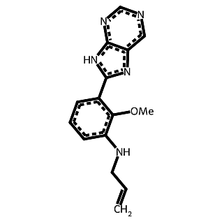 C=CCNc1cccc(-c2nc3cncnc3[nH]2)c1OC